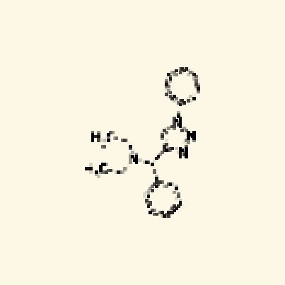 CCN(CC)C(c1ccccc1)c1cn(-c2ccccc2)nn1